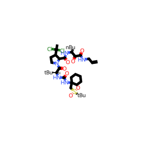 C=CCNC(=O)C(=O)C(CCCC)NC(=O)C1C(C(C)(Cl)Cl)CCN1C(=O)[C@@H](NC(=O)NC1(CS(=O)(=O)C(C)(C)C)CCCCC1)C(C)(C)C